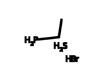 Br.CCP.S